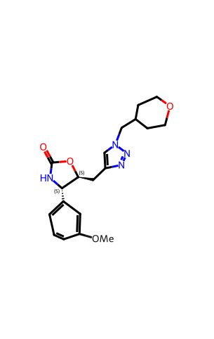 COc1cccc([C@@H]2NC(=O)O[C@H]2Cc2cn(CC3CCOCC3)nn2)c1